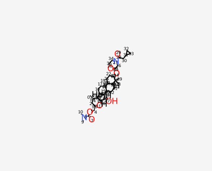 C[C@@H]1C[C@H](COC(=O)N(C)C)O[C@H]2[C@H]1[C@@]1(C)CC[C@@]34C[C@@]35CC[C@H](O[C@H]3CN(C(=O)CC6CC6)CCO3)C(C)(C)[C@@H]5CC[C@H]4[C@]1(C)[C@H]2O